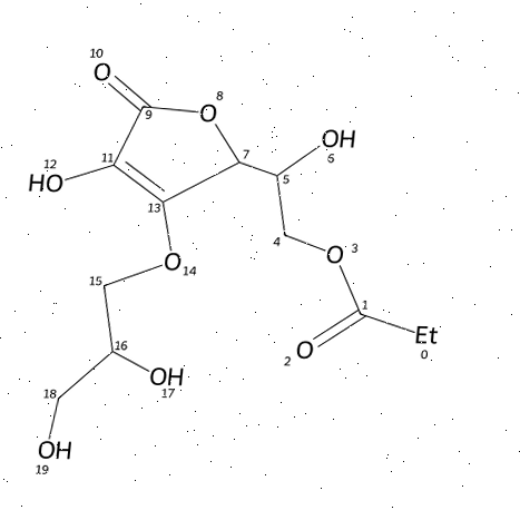 CCC(=O)OCC(O)C1OC(=O)C(O)=C1OCC(O)CO